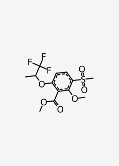 COC(=O)c1c(OC(C)C(F)(F)F)ccc(S(C)(=O)=O)c1OC